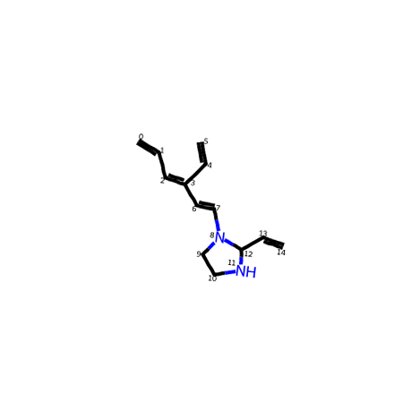 C=C/C=C(C=C)/C=C/N1CCNC1C=C